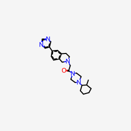 CC1CCCCC1N1CCN(C(=O)CN2CCc3cc(-c4cncnc4)ccc3C2)CC1